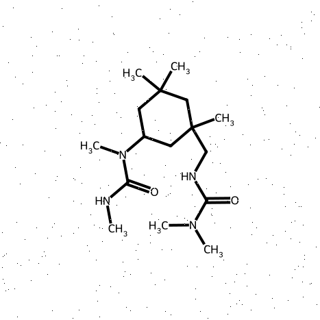 CNC(=O)N(C)C1CC(C)(C)CC(C)(CNC(=O)N(C)C)C1